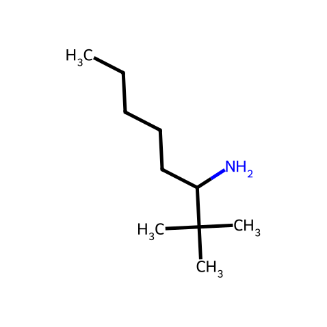 CCCCCC(N)C(C)(C)C